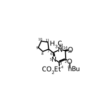 CCCCOc1c(C(=O)OCC)nc(C2CCCC2)n(C)c1=O